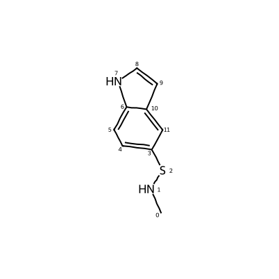 CNSc1ccc2[nH]ccc2c1